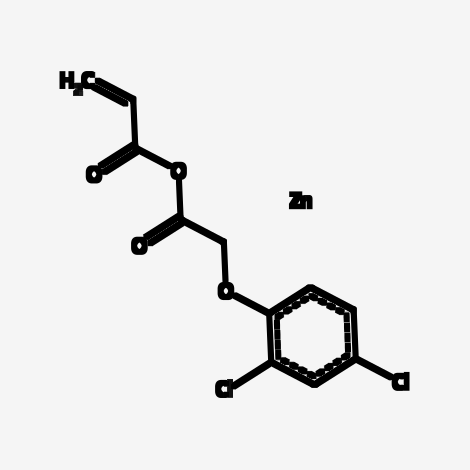 C=CC(=O)OC(=O)COc1ccc(Cl)cc1Cl.[Zn]